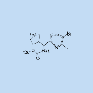 Cc1nc(C(NC(=O)OC(C)(C)C)C2CCNC2)ccc1Br